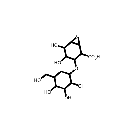 O=C(O)C1C(OC2CC(CO)C(O)C(O)C2O)C(O)C(O)C2OC21